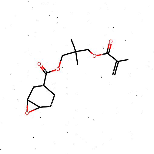 C=C(C)C(=O)OCC(C)(C)COC(=O)C1CCC2OC2C1